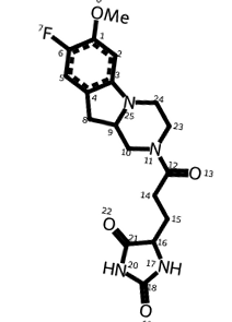 COc1cc2c(cc1F)CC1CN(C(=O)CCC3NC(=O)NC3=O)CCN21